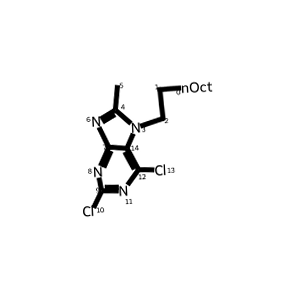 CCCCCCCCCCn1c(C)nc2nc(Cl)nc(Cl)c21